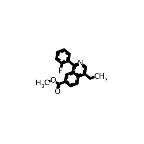 CCc1cnc(-c2ccccc2F)c2cc(C(=O)OC)ccc12